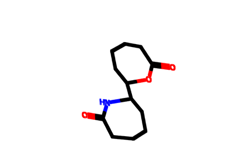 O=C1CCCCC(C2CCCCC(=O)O2)N1